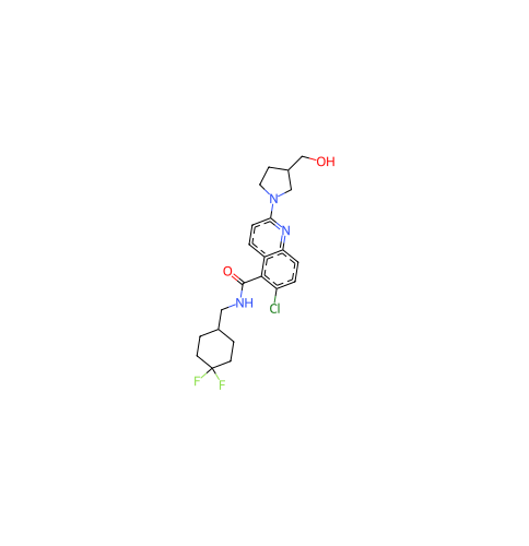 O=C(NCC1CCC(F)(F)CC1)c1c(Cl)ccc2nc(N3CCC(CO)C3)ccc12